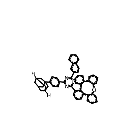 c1ccc2cc(-c3nc(-c4ccc(C56CC7C[C@H](C5)C[C@@H](C7)C6)cc4)nc(-c4cccc5c6ccccc6oc6ccccc6c6ccccc6c45)n3)ccc2c1